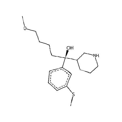 COCCCC[C@@](O)(c1cccc(SC)c1)C1CCCNC1